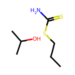 CC(C)O.CCCSC(N)=S